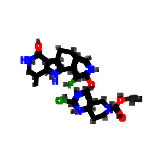 CC1CNC(=O)c2c1[nH]c1c2CCc2cnc(Oc3nc(Cl)nc4c3CN(C(=O)OC(C)(C)C)CC4)c(F)c2-1